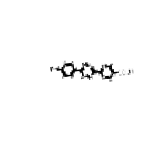 CCc1ccc(-c2nnc(-c3ncc(C(=O)O)cn3)nn2)cc1